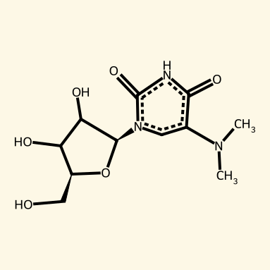 CN(C)c1cn([C@H]2O[C@@H](CO)C(O)C2O)c(=O)[nH]c1=O